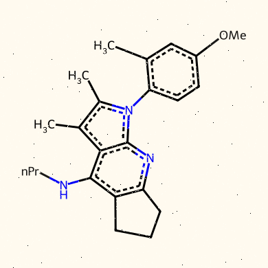 CCCNc1c2c(nc3c1c(C)c(C)n3-c1ccc(OC)cc1C)CCC2